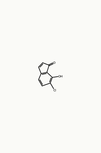 O=C1C=Cc2ccc(Cl)c(O)c21